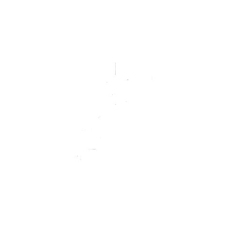 CC(C)C(C(C)C)C(O[SiH3])(C(C)C)C1CC(OC(=O)c2ccc([N+](=O)[O-])cc2)C1